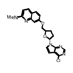 CNc1ccc2ccc(OCC3CC[C@H](n4ccc5c(Cl)ncnc54)O3)cc2n1